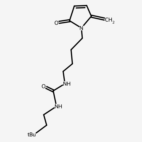 C=C1C=CC(=O)N1CCCCNC(=O)NCCC(C)(C)C